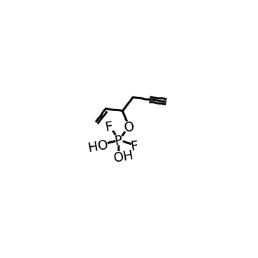 C#CCC(C=C)OP(O)(O)(F)F